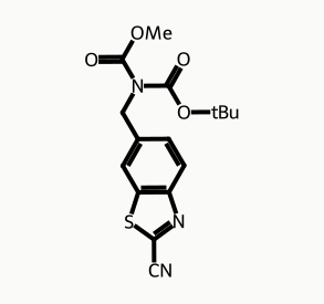 COC(=O)N(Cc1ccc2nc(C#N)sc2c1)C(=O)OC(C)(C)C